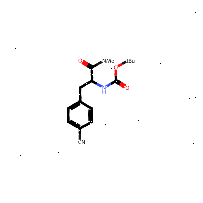 CNC(=O)C(Cc1ccc(C#N)cc1)NC(=O)OC(C)(C)C